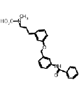 CN(CCCc1cccc(OCc2cccc(NC(=O)c3ccccc3)c2)c1)C(=O)O